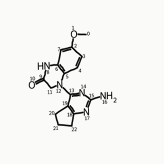 COc1ccc2c(c1)NC(=O)CN2c1nc(N)nc2c1CCC2